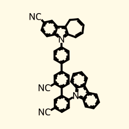 N#Cc1ccc(-n2c3ccccc3c3ccccc32)c(-c2ccc(-c3ccc(-n4c5c(c6cc(C#N)ccc64)CC=CC=C5)cc3)cc2C#N)c1